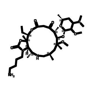 CC[C@H]1OC(=O)CC(=O)[C@H](C)[C@@H](O[C@@H]2O[C@H](C)CC(N(C)C)C2OC)[C@](C)(OC)C[C@@H](C)CN[C@H](C)[C@H]2N(CCCCN)C(=O)O[C@]12C